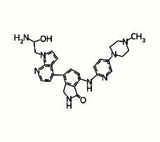 CN1CCN(c2ccc(Nc3ccc(-c4ccnc5c4ccn5CC(N)O)c4c3C(=O)NC4)nc2)CC1